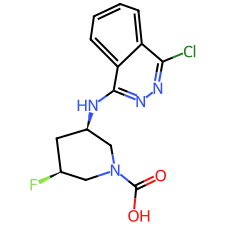 O=C(O)N1C[C@@H](F)C[C@@H](Nc2nnc(Cl)c3ccccc23)C1